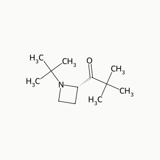 CC(C)(C)C(=O)[C@@H]1CCN1C(C)(C)C